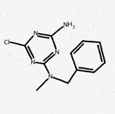 CN(Cc1ccccc1)c1nc(N)nc(Cl)n1